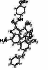 COC1CCC(NC(=O)c2sc3c(N)ccc4c3c2C(N)C(=O)C4(N)c2ccc(Oc3ccccc3)cc2C)CC1